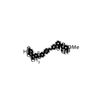 CCOc1cc([C@@H](CC#N)N2C(=O)c3cccc(N4CCC(CCN5CCN(c6ccc(Oc7cc8c(cc7F)c(N7CCC(=O)NC7=O)nn8C)cc6)CC5)CC4)c3C2=O)ccc1OC